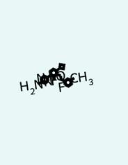 Cc1ccc(F)c(COc2c(C3CCC3)ccc(-c3cnc(N)cn3)c2F)c1